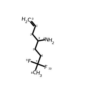 C=CCC(N)CCC(C)(F)F